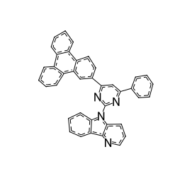 c1ccc(-c2cc(-c3ccc4c5ccccc5c5ccccc5c4c3)nc(-n3c4ccccc4c4ncccc43)n2)cc1